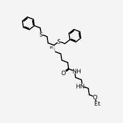 CCOCCNCCNC(=O)CCCC[C@H](CCSCc1ccccc1)SCc1ccccc1